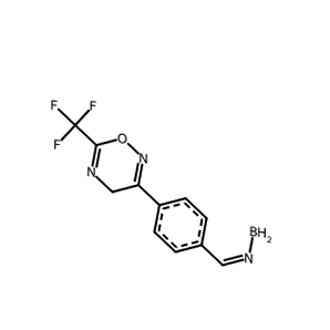 B/N=C\c1ccc(C2=NOC(C(F)(F)F)=NC2)cc1